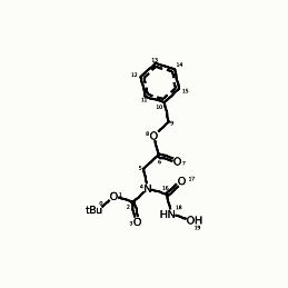 CC(C)(C)OC(=O)N(CC(=O)OCc1ccccc1)C(=O)NO